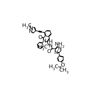 CC(C)Oc1ccc(-c2cnc(N)c(C(=O)N[C@H](C)c3cc4cccc(C#Cc5cnn(C)c5)c4c(=O)n3-c3ccccc3)n2)cc1